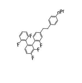 CCCc1ccc(CCc2ccc(-c3c(-c4c(F)cccc4F)ccc(F)c3F)c(F)c2)cc1